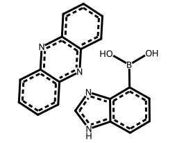 OB(O)c1cccc2[nH]cnc12.c1ccc2nc3ccccc3nc2c1